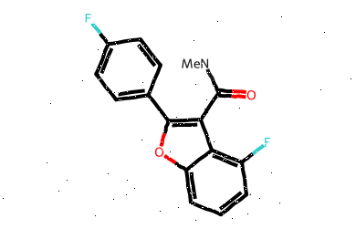 CNC(=O)c1c(-c2ccc(F)cc2)oc2cc[c]c(F)c12